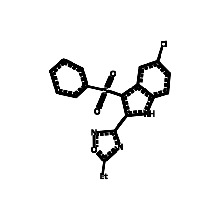 CCc1nc(-c2[nH]c3ccc(Cl)cc3c2S(=O)(=O)c2ccccc2)no1